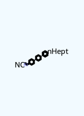 CCCCCCCc1ccc([C@H]2CC[C@H](C3CCC(/C=C/C#N)CC3)CC2)cc1